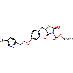 CCCCCOC(=O)N1C(=O)SC(Cc2ccc(OCCc3ccc(CC)cn3)cc2)C1=O